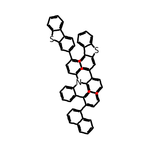 c1ccc(-c2cccc3ccccc23)c(-c2ccccc2N(c2ccc(-c3ccc4c(c3)sc3ccccc34)cc2)c2ccccc2-c2ccc3c(c2)sc2ccccc23)c1